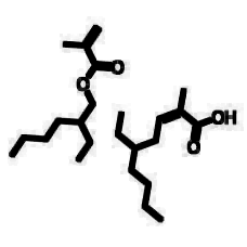 C=C(C)C(=O)OCC(CC)CCCC.CCCCC(CC)CC=C(C)C(=O)O